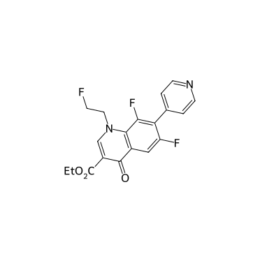 CCOC(=O)c1cn(CCF)c2c(F)c(-c3ccncc3)c(F)cc2c1=O